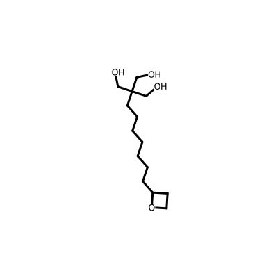 OCC(CO)(CO)CCCCCCCC1CCO1